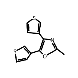 Cc1nc(-c2ccsc2)c(-c2ccsc2)o1